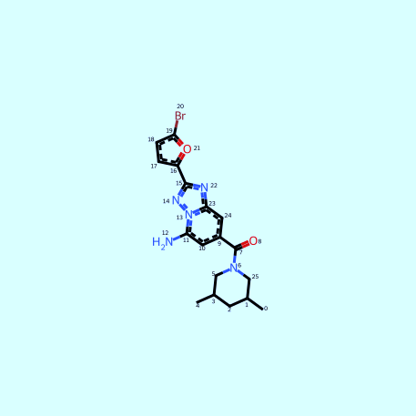 CC1CC(C)CN(C(=O)c2cc(N)n3nc(-c4ccc(Br)o4)nc3c2)C1